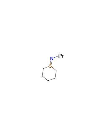 CC(C)N=S1CCCCC1